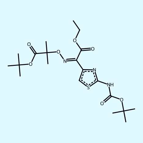 CCOC(=O)C(=NOC(C)(C)C(=O)OC(C)(C)C)c1csc(NC(=O)OC(C)(C)C)n1